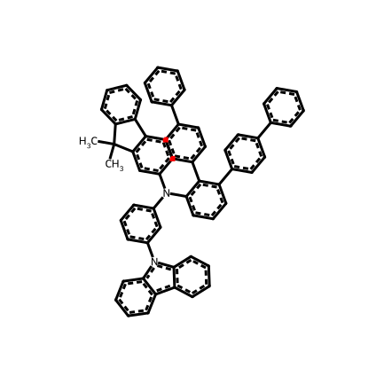 CC1(C)c2ccccc2-c2ccc(N(c3cccc(-n4c5ccccc5c5ccccc54)c3)c3cccc(-c4ccc(-c5ccccc5)cc4)c3-c3ccc(-c4ccccc4)cc3)cc21